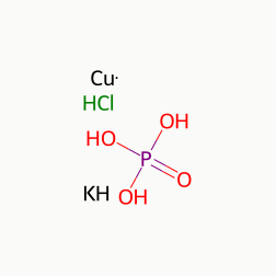 Cl.O=P(O)(O)O.[Cu].[KH]